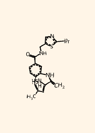 C=C1Nc2cc(C(=O)NCc3cnc(C(C)C)s3)ccc2/C=C(C)\C=C\1NS